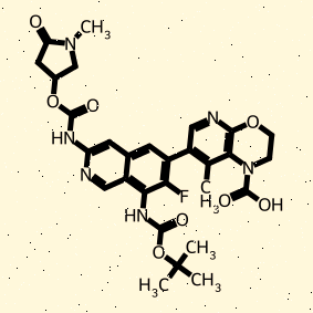 Cc1c(-c2cc3cc(NC(=O)OC4CC(=O)N(C)C4)ncc3c(NC(=O)OC(C)(C)C)c2F)cnc2c1N(C(=O)O)CCO2